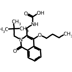 CCCCOc1c(CNC(=O)O)n(CC(C)(C)C)c(=O)c2ccccc12